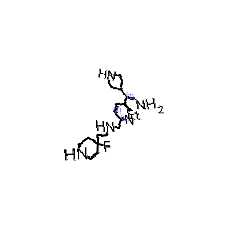 C=C(/C=C\C(CNCCC1(F)CCNCC1)=N/CC)/C(=C\N)C1CCNCC1